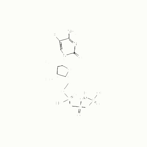 Nc1nc(=O)n([C@@H]2O[C@H](COP(=O)(O)OP(=O)(O)OP(=O)(O)O)[C@H](O)[C@@H]2O)cc1F